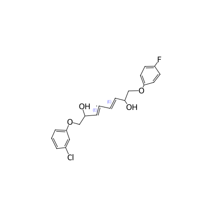 OC(/C=C/[C]=C/C(O)COc1cccc(Cl)c1)COc1ccc(F)cc1